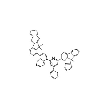 CC1(C)c2cc3ccccc3cc2-c2cccc(-c3ccc(-c4nc(-c5ccccc5)cc(-c5ccc6c(c5)C(C)(c5ccccc5)c5ccccc5-6)n4)c4ccccc34)c21